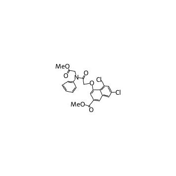 COC(=O)CN(C(=O)COc1cc(C(=O)OC)cc2cc(Cl)cc(Cl)c12)c1ccccc1